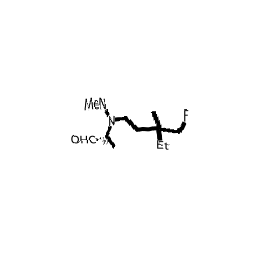 CCC(C)(CF)CCN(NC)[C@H](C)C=O